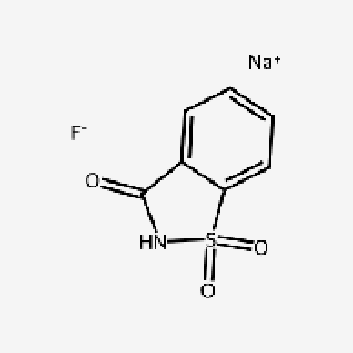 O=C1NS(=O)(=O)c2ccccc21.[F-].[Na+]